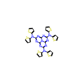 c1csc(N(C2=NC3=NC(N(c4cccs4)c4cccs4)=NC4=NC(N(c5cccs5)c5cccs5)=NC(=N2)N34)c2cccs2)c1